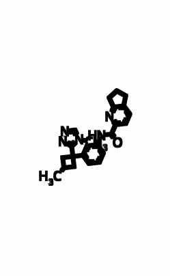 CC1CC(c2cccc(NC(=O)c3ccc4c(n3)CCC4)c2)(c2nncn2C)C1